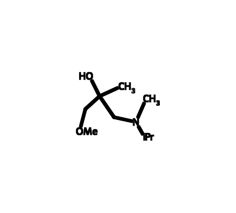 COCC(C)(O)CN(C)C(C)C